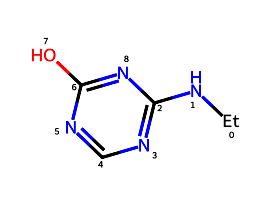 CCNc1ncnc(O)n1